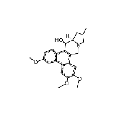 COc1ccc2c3c(c4cc(OC)c(OC)cc4c2c1)CN1CC(C)C[C@@H]1[C@@H]3O